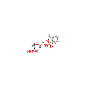 Cc1ccccc1S(=O)(=O)OCCOC(C)C(=O)O